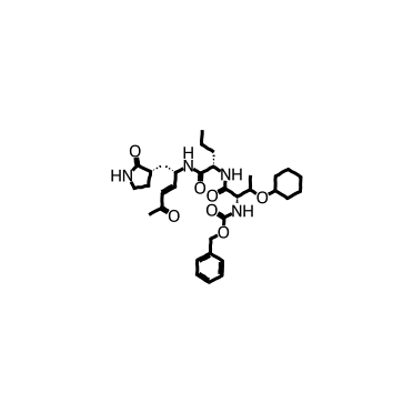 CCC[C@H](NC(=O)[C@@H](NC(=O)OCc1ccccc1)C(C)OC1CCCCC1)C(=O)N[C@H](/C=C/C(C)=O)C[C@@H]1CCNC1=O